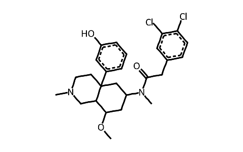 COC1CC(N(C)C(=O)Cc2ccc(Cl)c(Cl)c2)CC2(c3cccc(O)c3)CCN(C)CC12